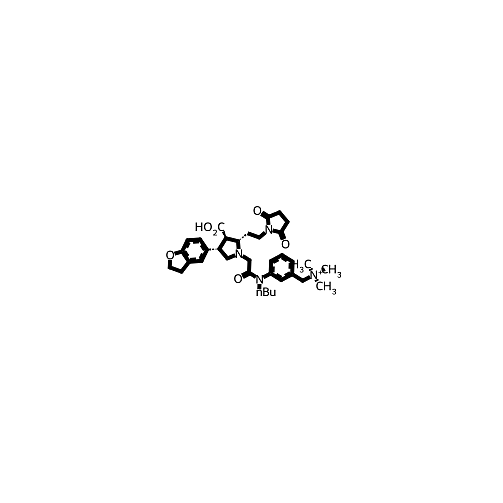 CCCCN(C(=O)CN1C[C@H](c2ccc3c(c2)CCO3)[C@@H](C(=O)O)[C@@H]1CCN1C(=O)CCC1=O)c1cccc(C[N+](C)(C)C)c1